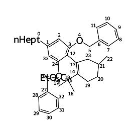 CCCCCCCc1cc(OCc2ccccc2)c(C2=C(C(C)(C)C(=O)OCC)CCC(C)C2)c(OCc2ccccc2)c1